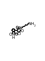 Cl.NCCCCCCNN1C(=O)CCC(c2cccc3c2C(=O)NC3=O)C1=O